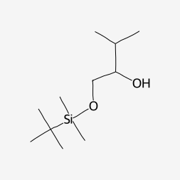 CC(C)C(O)CO[Si](C)(C)C(C)(C)C